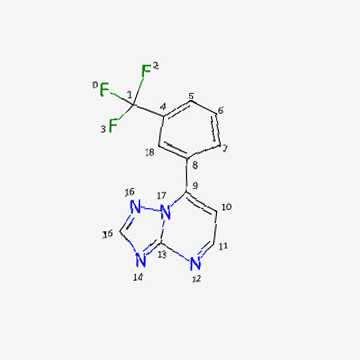 FC(F)(F)c1cccc(-c2ccnc3ncnn23)c1